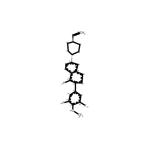 C=C[C@H]1CC[C@H](c2ccc3c(F)c(-c4cc(F)c(OC(F)(F)F)c(F)c4)ccc3c2)CC1